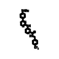 CC(=O)Nc1ccc(-c2ccnc(Nc3cccc(C(=O)NCc4ccc(C(F)(F)F)cc4)c3)n2)cc1